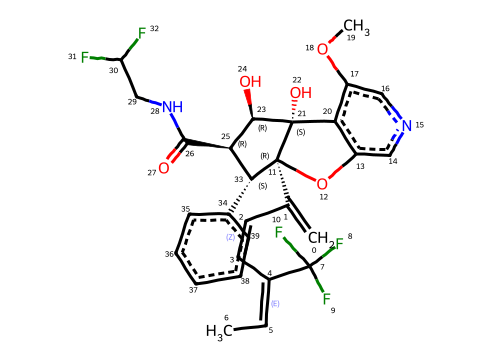 C=C(/C=C\C(=C/C)C(F)(F)F)[C@@]12Oc3cncc(OC)c3[C@]1(O)[C@H](O)[C@H](C(=O)NCC(F)F)[C@H]2c1ccccc1